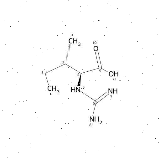 CC[C@H](C)[C@H](NC(=N)N)C(=O)O